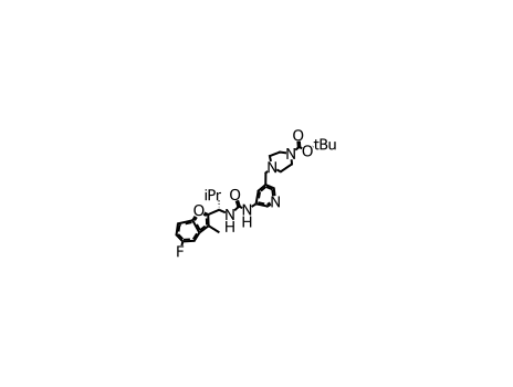 Cc1c([C@@H](NC(=O)Nc2cncc(CN3CCN(C(=O)OC(C)(C)C)CC3)c2)C(C)C)oc2ccc(F)cc12